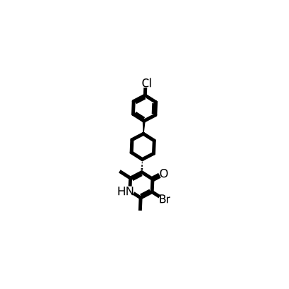 Cc1[nH]c(C)c([C@H]2CC[C@H](c3ccc(Cl)cc3)CC2)c(=O)c1Br